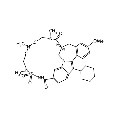 COc1ccc2c(c1)C[C@@H]1Cn3c-2c(C2CCCCC2)c2ccc(cc23)C(=O)NS(=O)(=O)N(C)CCN(C)CCN(C)C1=O